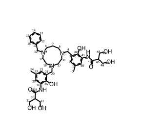 Cc1cc(CN2CCCN(Cc3ccccc3)CCN(Cc3cc(C)cc(NC(=O)C(CO)CO)c3O)CC2)c(O)c(NC(=O)C(CO)CO)c1